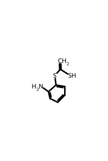 C=C(S)Sc1ccccc1N